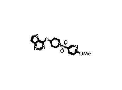 COc1ccc(S(=O)(=O)N2CCC(Oc3ncnc4ccsc34)CC2)cn1